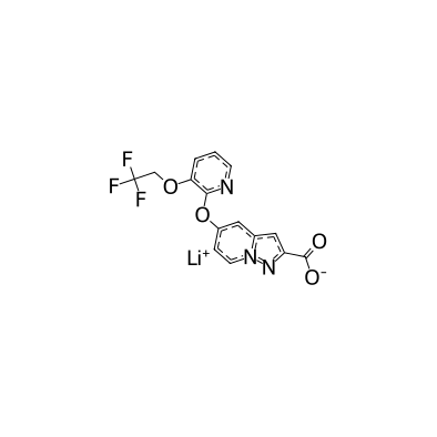 O=C([O-])c1cc2cc(Oc3ncccc3OCC(F)(F)F)ccn2n1.[Li+]